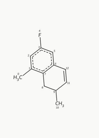 Cc1cc(F)cc2c1CC(C)C=C2